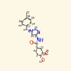 COc1ccc(C(=O)Nc2cn(Cc3ccc(C)cc3)cn2)cc1OC